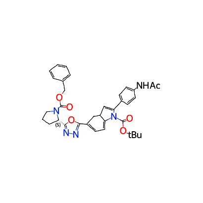 CC(=O)Nc1ccc(C2=CC3CC(c4nnc([C@@H]5CCCN5C(=O)OCc5ccccc5)o4)=CC=C3N2C(=O)OC(C)(C)C)cc1